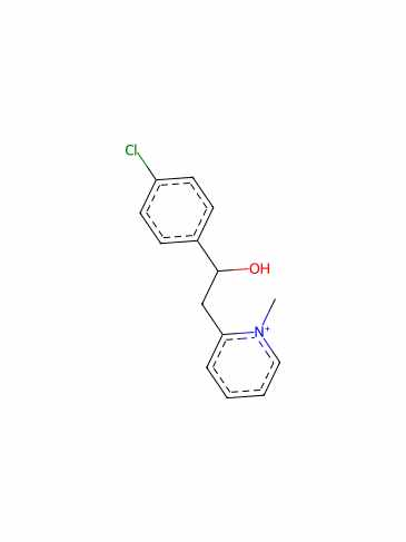 C[n+]1ccccc1CC(O)c1ccc(Cl)cc1